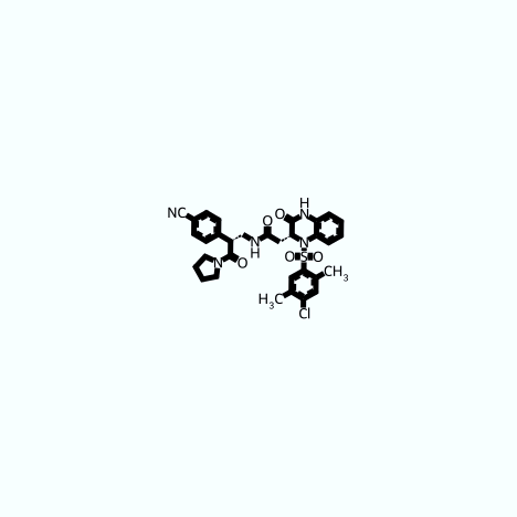 Cc1cc(S(=O)(=O)N2c3ccccc3NC(=O)[C@H]2CC(=O)NC[C@H](C(=O)N2CCCC2)c2ccc(C#N)cc2)c(C)cc1Cl